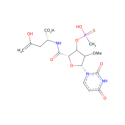 C=C(O)C[C@@H](NC(=O)[C@H]1O[C@@H](n2ccc(=O)[nH]c2=O)C(OC)C1OP(C)(O)=S)C(=O)O